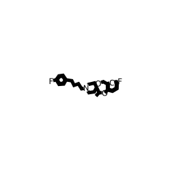 CC1Oc2ccc(F)cc2COC12CCN(CCCCc1ccc(F)cc1)CC2